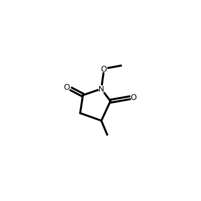 CON1C(=O)CC(C)C1=O